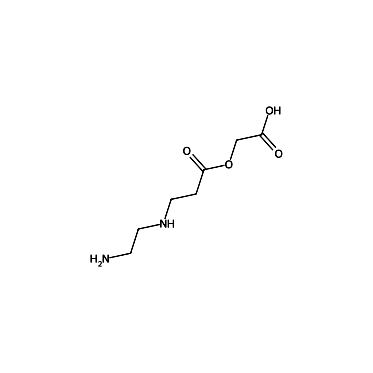 NCCNCCC(=O)OCC(=O)O